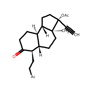 C#C[C@]1(OC(C)=O)CC[C@H]2[C@@H]3CCC(=O)[C@H](CCC(C)=O)[C@H]3CC[C@@]21C